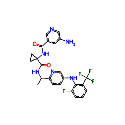 CC(NC(=O)C1(NC(=O)c2cncc(N)c2)CC1)c1ccc(Nc2c(F)cccc2C(F)(F)F)cn1